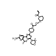 C=CC(=O)N1CCC[C@@H](COCC(=O)N2CCN(c3nc(-c4cnc(N)nc4C(F)F)nc(N4CCOC[C@@H]4C)n3)CC2)C1